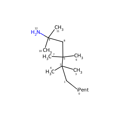 CCCC(C)CC(C)(C)C(C)(C)CC(C)(C)N